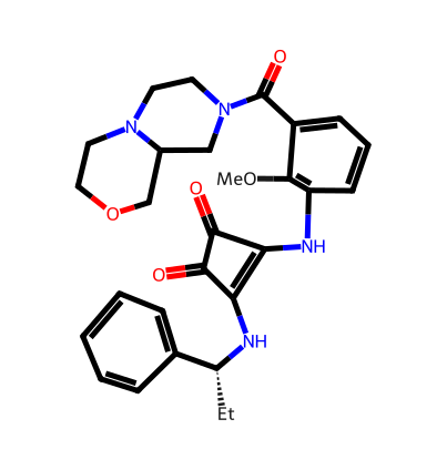 CC[C@@H](Nc1c(Nc2cccc(C(=O)N3CCN4CCOCC4C3)c2OC)c(=O)c1=O)c1ccccc1